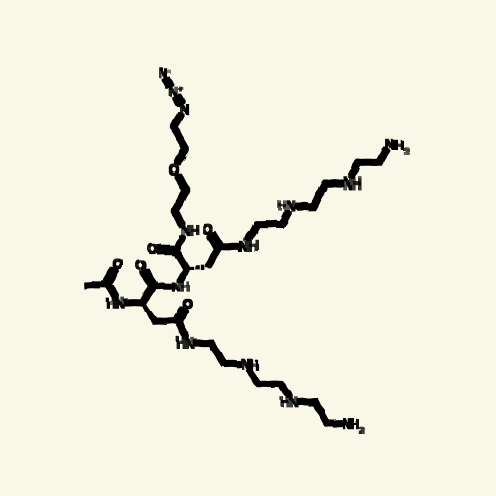 CC(=O)N[C@H](CC(=O)NCCNCCNCCN)C(=O)N[C@@H](CC(=O)NCCNCCNCCN)C(=O)NCCOCCN=[N+]=[N-]